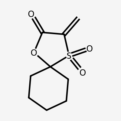 C=C1C(=O)OC2(CCCCC2)S1(=O)=O